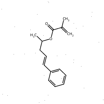 C=C(C)C(=O)OC(C)CC=Cc1ccccc1